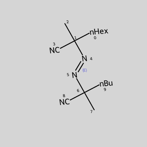 CCCCCCC(C)(C#N)/N=N/C(C)(C#N)CCCC